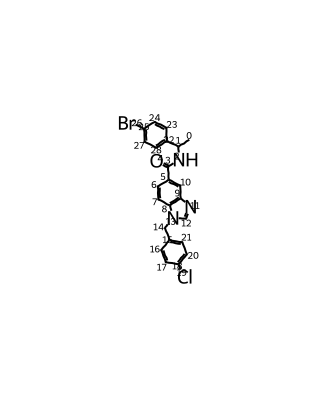 CC(NC(=O)c1ccc2c(c1)ncn2Cc1ccc(Cl)cc1)c1ccc(Br)cc1